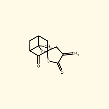 C=C1CC2(CC3CC(C2=O)C3(C)C)OC1=O